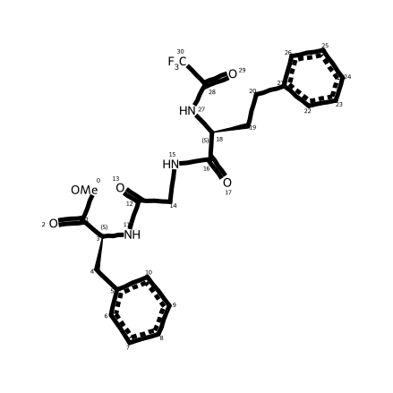 COC(=O)[C@H](Cc1ccccc1)NC(=O)CNC(=O)[C@H](CCc1ccccc1)NC(=O)C(F)(F)F